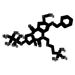 COc1cc2c(cc1OCc1ccccc1)N(COCC[Si](C)(C)C)C(=O)[C@@H]1C[C@@H](O[Si](C)(C)C(C)(C)C)CN1C2=O